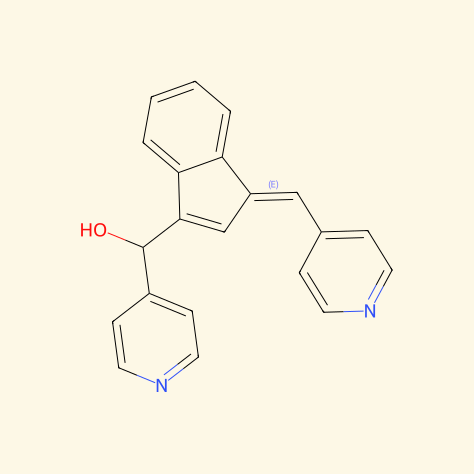 OC(C1=C/C(=C\c2ccncc2)c2ccccc21)c1ccncc1